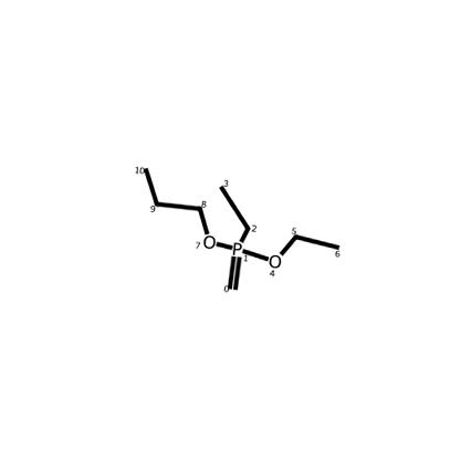 C=P(CC)(OCC)OCCC